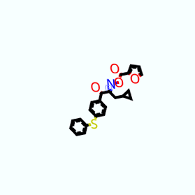 O=C(/C(CC1CC1)=N/OC(=O)c1ccco1)c1ccc(Sc2ccccc2)cc1